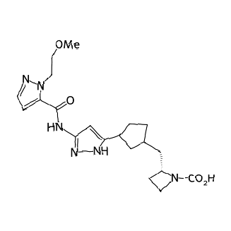 COCCn1nccc1C(=O)Nc1cc(C2CCC(C[C@H]3CCN3C(=O)O)C2)[nH]n1